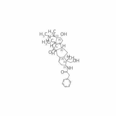 C[C@@H]([C@H]1[C@H](O)C[C@@]2(C)[C@@H]3CC[C@@H]4C(=CC[C@H](NC(=O)Cc5ccccc5)[C@@]4(C)CO)C[C@@H]3C(=O)C[C@]12C)N(C)C